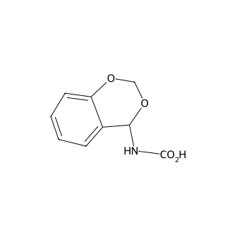 O=C(O)NC1OCOc2ccccc21